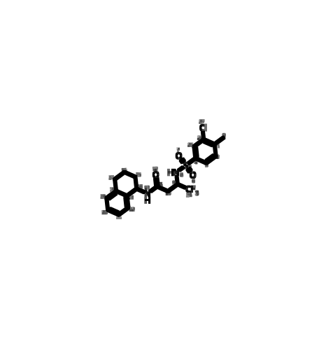 Cc1ccc(S(=O)(=O)NC(CC(=O)NC2CCCc3ccccc32)C(F)(F)F)cc1Cl